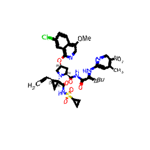 C=C[C@@H]1C[C@@]1(C(=O)NS(=O)(=O)C1CC1)N1C[C@H](Oc2ncc(OC)c3ccc(Cl)cc23)C[C@H]1C(=O)NC(=O)C(Nc1cc(C)c([N+](=O)[O-])cn1)C(C)(C)C